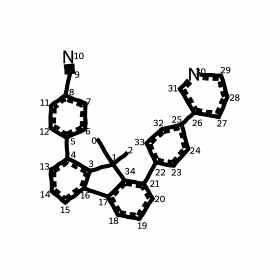 CC1(C)c2c(-c3ccc(C#N)cc3)cccc2-c2cccc(-c3ccc(-c4cccnc4)cc3)c21